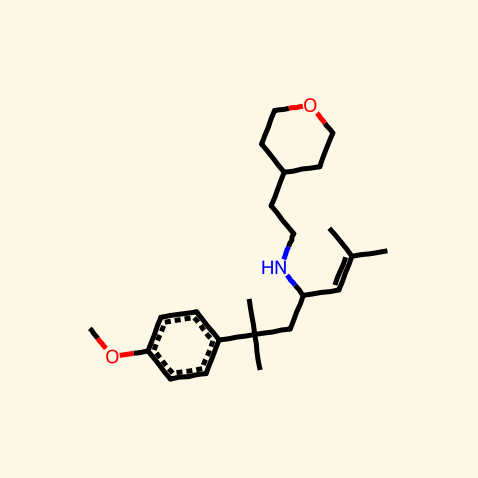 COc1ccc(C(C)(C)CC(C=C(C)C)NCCC2CCOCC2)cc1